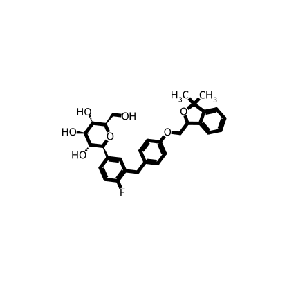 CC1(C)OC(COc2ccc(Cc3cc([C@@H]4O[C@H](CO)[C@@H](O)[C@H](O)[C@H]4O)ccc3F)cc2)c2ccccc21